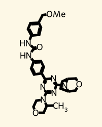 COCc1ccc(NC(=O)Nc2ccc(-c3nc(N4CCOCC4C)nc(N4C5CCC4COC5)n3)cc2)cc1